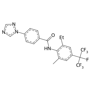 CCc1cc(C(F)(C(F)(F)F)C(F)(F)F)cc(C)c1NC(=O)c1ccc(-n2cncn2)cc1